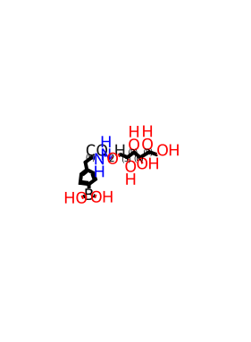 O=C(O)[C@H](Cc1ccc(B(O)O)cc1)NNOC[C@H](O)[C@@H](O)[C@H](O)[C@H](O)CO